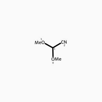 COC(C#N)OC